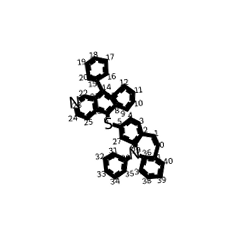 C1=Cc2ccc(Sc3c4ccccc4c(-c4ccccc4)c4cnccc34)cc2N(c2ccccc2)c2ccccc21